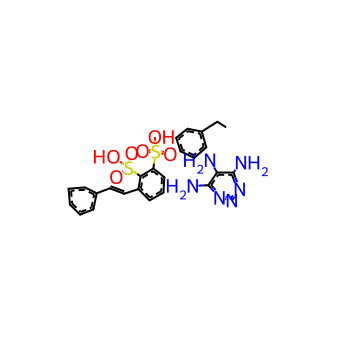 CCc1ccccc1.Nc1nnnc(N)c1N.O=S(=O)(O)c1cccc(C=Cc2ccccc2)c1S(=O)(=O)O